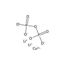 O=P([O-])([O-])OP(=O)([O-])[O-].[Cu+2].[Li+].[Li+]